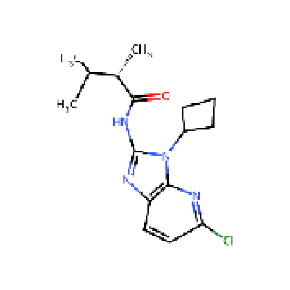 CC(C)[C@H](C)C(=O)Nc1nc2ccc(Cl)nc2n1C1CCC1